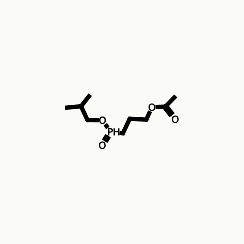 CC(=O)OCCC[PH](=O)OCC(C)C